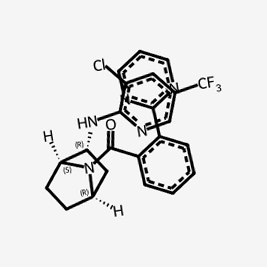 O=C(c1ccccc1-c1ncccn1)N1[C@@H]2CC[C@H]1[C@H](Nc1ncc(C(F)(F)F)cc1Cl)C2